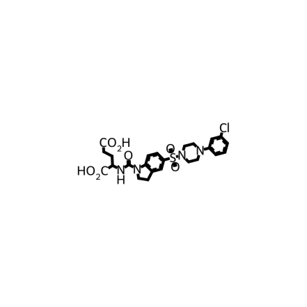 O=C(O)CCC(NC(=O)N1CCc2cc(S(=O)(=O)N3CCN(c4cccc(Cl)c4)CC3)ccc21)C(=O)O